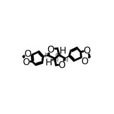 C1=CC2OCOC2C=C1[C@H]1OC[C@H]2[C@@H]1CO[C@@H]2c1ccc2c(c1)OCO2